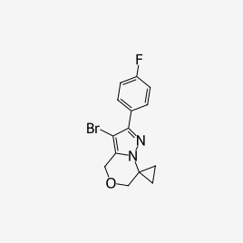 Fc1ccc(-c2nn3c(c2Br)COCC32CC2)cc1